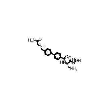 NC[C@H](NC(=O)c1ccc(-c2ccc(CNCC(N)=O)cc2)cc1)C(=O)NO